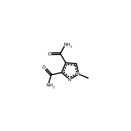 Cn1cc(C(N)=O)c(C(N)=O)n1